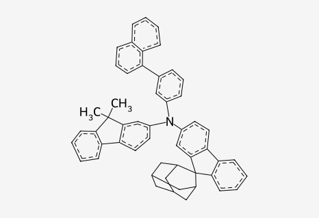 CC1(C)c2ccccc2-c2ccc(N(c3cccc(-c4cccc5ccccc45)c3)c3ccc4c(c3)C3(c5ccccc5-4)C4CC5CC(C4)CC3C5)cc21